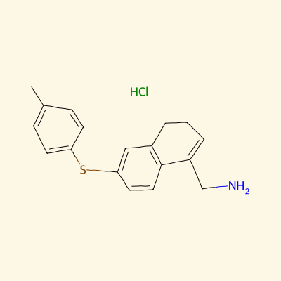 Cc1ccc(Sc2ccc3c(c2)CCC=C3CN)cc1.Cl